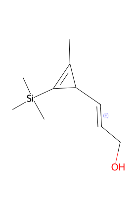 CC1=C([Si](C)(C)C)C1/C=C/CO